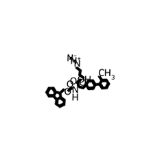 CCc1ccccc1C1=CCC(CC(NC(=O)OCC2c3ccccc3-c3ccccc32)C(=O)O)(OCCCCN=[N+]=[N-])C=C1